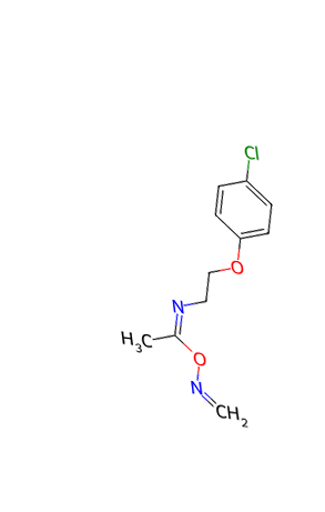 C=NO/C(C)=N\CCOc1ccc(Cl)cc1